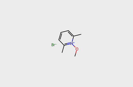 CO[n+]1c(C)cccc1C.[Br-]